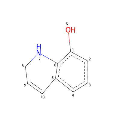 Oc1cccc2c1NCC=C2